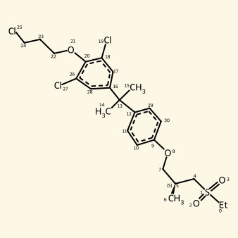 CCS(=O)(=O)C[C@@H](C)COc1ccc(C(C)(C)c2cc(Cl)c(OCCCCl)c(Cl)c2)cc1